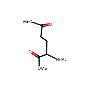 COC(=O)CCC(NC(C)=O)C(=O)OC